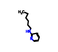 CCCCCCNc1[c]cccn1